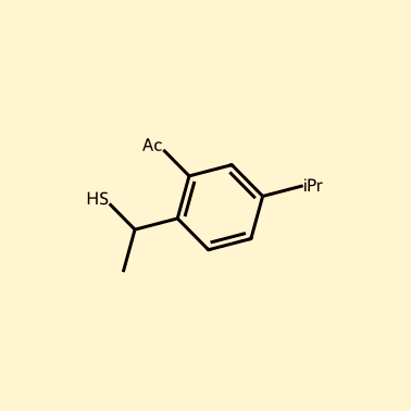 CC(=O)c1cc(C(C)C)ccc1C(C)S